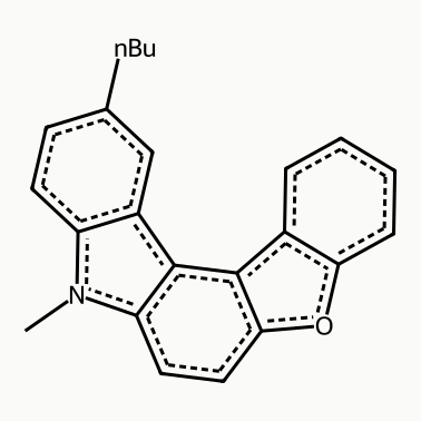 CCCCc1ccc2c(c1)c1c3c(ccc1n2C)oc1ccccc13